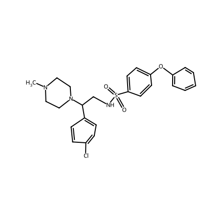 CN1CCN(C(CNS(=O)(=O)c2ccc(Oc3ccccc3)cc2)c2ccc(Cl)cc2)CC1